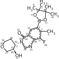 Cc1c(B2OC(C)(C)C(C)(C)O2)cc2c(=O)n([C@H]3CCOC[C@@H]3O)cnc2c1F